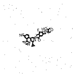 Cn1cnnc1-c1cc(C#N)ccc1-c1cc(C2CC2)nc(N2Cc3c(F)cc(CN[C@]4(C)COC[C@@H]4O)cc3C2=O)c1